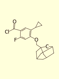 O=C(Cl)c1cc(C2CC2)c(OCC23CC4CC(CC(C4)C2)C3)cc1F